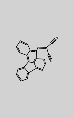 N#CC(C#N)=Cc1c2ccccc2c2c3c(cccc13)-c1ccccc1-2